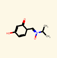 CC(C)[N+]([O-])=CC1C=CC(O)=CC1=O